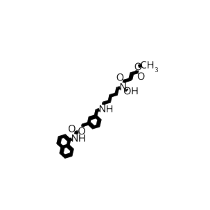 COC(=O)/C=C/C(=O)N(O)CCCCCNCc1cccc(COC(=O)Nc2cccc3ccccc23)c1